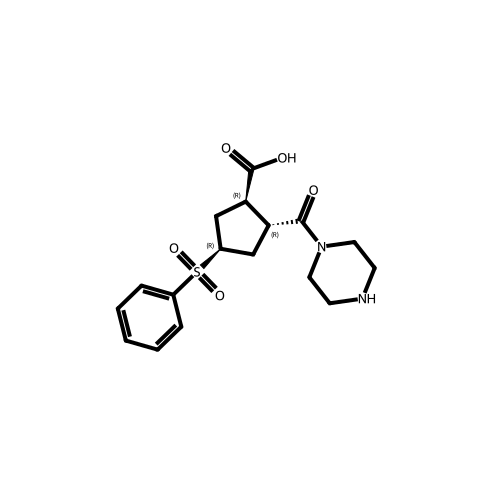 O=C(O)[C@@H]1C[C@H](S(=O)(=O)c2ccccc2)C[C@H]1C(=O)N1CCNCC1